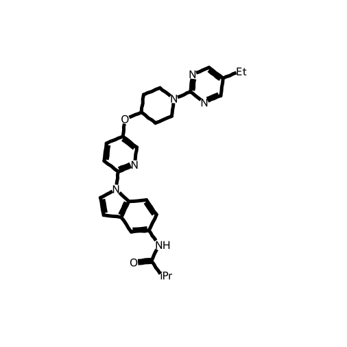 CCc1cnc(N2CCC(Oc3ccc(-n4ccc5cc(NC(=O)C(C)C)ccc54)nc3)CC2)nc1